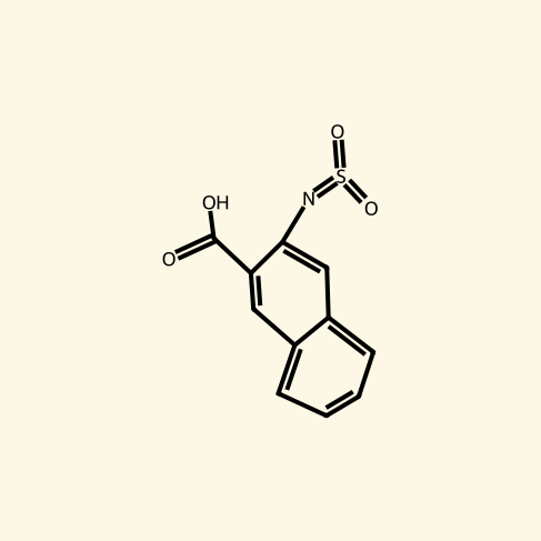 O=C(O)c1cc2ccccc2cc1N=S(=O)=O